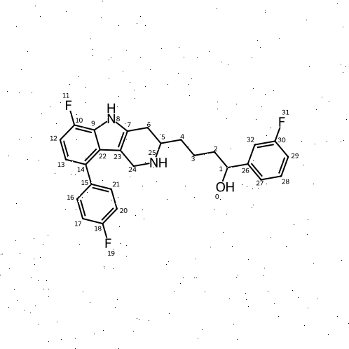 OC(CCCC1Cc2[nH]c3c(F)ccc(-c4ccc(F)cc4)c3c2CN1)c1cccc(F)c1